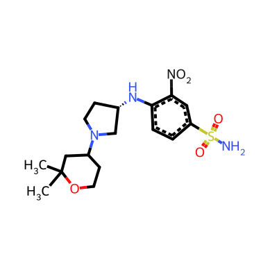 CC1(C)CC(N2CC[C@H](Nc3ccc(S(N)(=O)=O)cc3[N+](=O)[O-])C2)CCO1